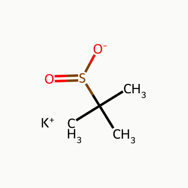 CC(C)(C)S(=O)[O-].[K+]